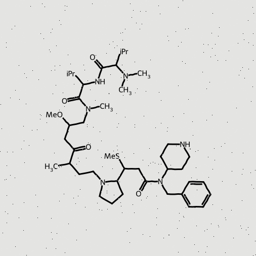 COC(CC(=O)C(C)CCN1CCCC1C(CC(=O)N(Cc1ccccc1)C1CCNCC1)SC)CN(C)C(=O)C(NC(=O)C(C(C)C)N(C)C)C(C)C